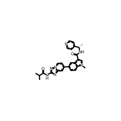 CC(C)C(=O)Nc1nc2cc(-c3ccc4c(c3)c(C(=O)N[C@@H](C)c3ccncc3)cn4C)ccn2n1